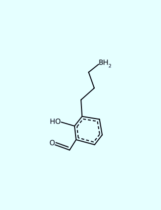 BCCCc1cccc(C=O)c1O